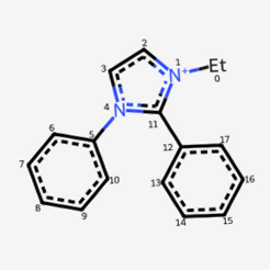 CC[n+]1ccn(-c2ccccc2)c1-c1ccccc1